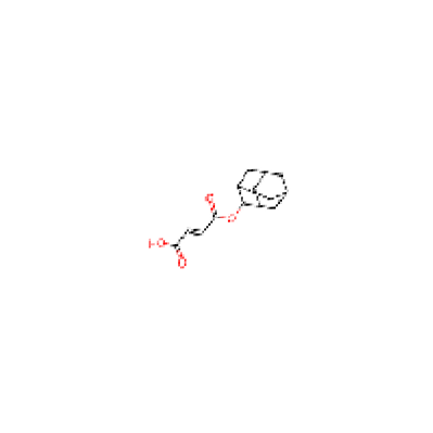 O=C(O)/C=C/C(=O)OC1C2CC3CC(C2)CC1C3